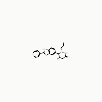 CCCN1NC(=O)CC(C)C1c1ccc2[nH]c(-c3ccncc3)nc2c1